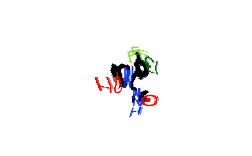 CC1C(=O)NCCN1CCC(c1ccc(Cl)c(C(F)(F)F)c1)N1CCC2(CC2)[C@H](O)C1